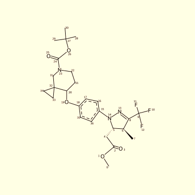 COC(=O)C[C@H]1[C@H](C)C(C(F)(F)F)=NN1c1ccc(OC2CCN(C(=O)OC(C)(C)C)CC23CC3)cc1